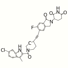 Cc1c(C(=O)N2CCC(C#Cc3cc4c(cc3F)C(=O)N(C3CCC(=O)NC3=O)C4)CC2)[nH]c2cc(Cl)ccc12